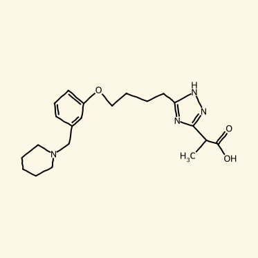 CC(C(=O)O)c1n[nH]c(CCCCOc2cccc(CN3CCCCC3)c2)n1